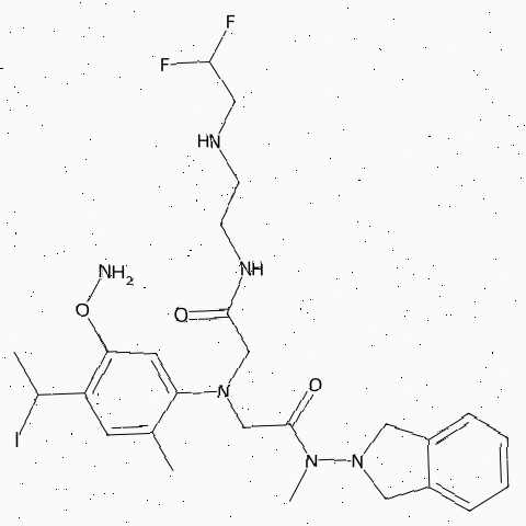 Cc1cc(C(C)I)c(ON)cc1N(CC(=O)NCCNCC(F)F)CC(=O)N(C)N1Cc2ccccc2C1